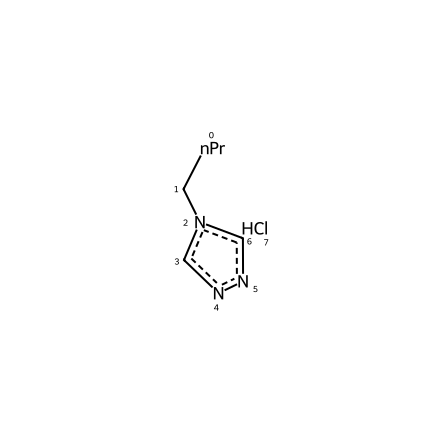 CCCCn1cnnc1.Cl